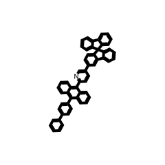 c1ccc(-c2ccc(-c3c4ccccc4c(-c4ccc(-c5ccc6c(c5)-c5ccccc5C65c6ccccc6-c6ccccc65)cn4)c4ccccc34)cc2)cc1